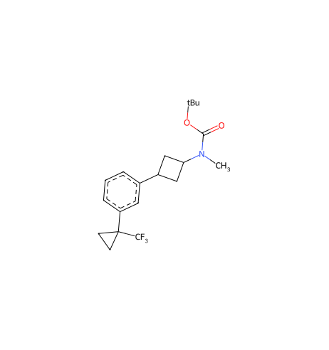 CN(C(=O)OC(C)(C)C)C1CC(c2cccc(C3(C(F)(F)F)CC3)c2)C1